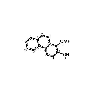 COc1c(O)ccc2c1ccc1ccccc12